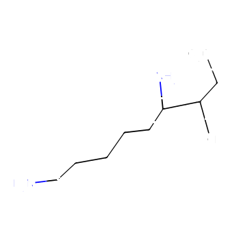 CC(CC(=O)O)C(N)CCCCCN